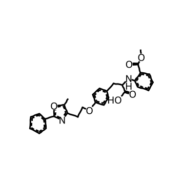 COC(=O)c1ccccc1NC(Cc1ccc(OCCc2nc(-c3ccccc3)oc2C)cc1)C(=O)O